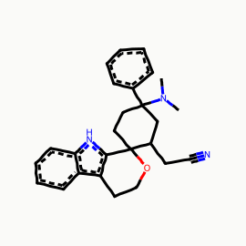 CN(C)C1(c2ccccc2)CCC2(OCCc3c2[nH]c2ccccc32)C(CC#N)C1